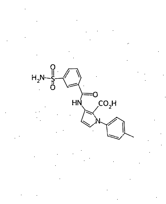 Cc1ccc(-n2ccc(NC(=O)c3cccc(S(N)(=O)=O)c3)c2C(=O)O)cc1